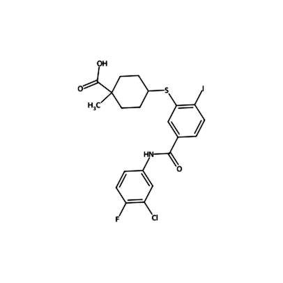 CC1(C(=O)O)CCC(Sc2cc(C(=O)Nc3ccc(F)c(Cl)c3)ccc2I)CC1